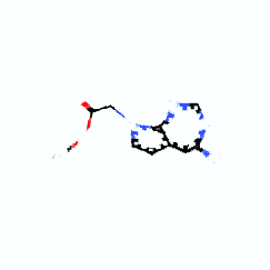 CCCCOC(=O)Cn1ccc2c(N)ncnc21